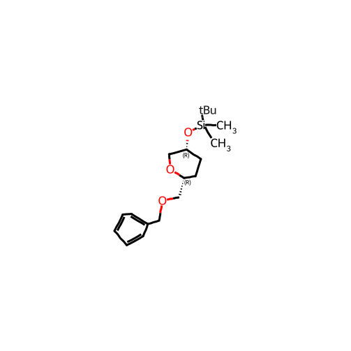 CC(C)(C)[Si](C)(C)O[C@@H]1CC[C@H](COCc2ccccc2)OC1